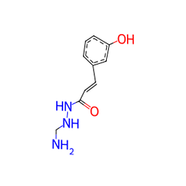 NCNNC(=O)C=Cc1cccc(O)c1